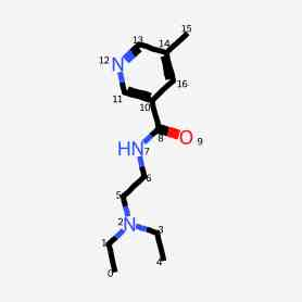 CCN(CC)CCNC(=O)c1cncc(C)c1